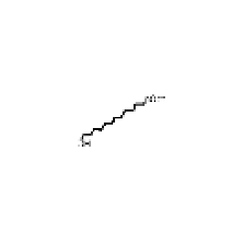 CCCCCCCCCCCCCCCCCC[CH]CO